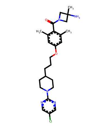 Cc1cc(OCCCC2CCN(c3ncc(Cl)cn3)CC2)cc(C)c1C(=O)N1CC(C)(N)C1